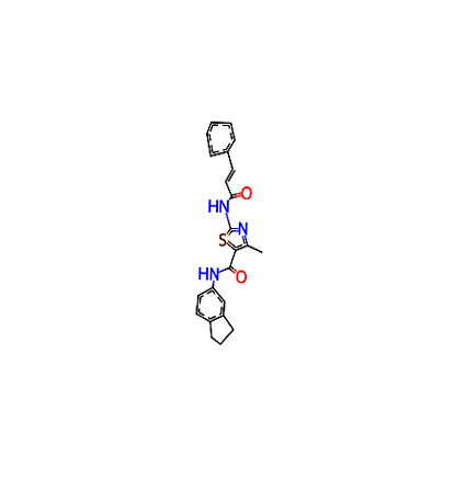 Cc1nc(NC(=O)C=Cc2ccccc2)sc1C(=O)Nc1ccc2c(c1)CCC2